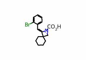 O=C(O)N1CC2(CCCCC2)C1=Cc1ccccc1Br